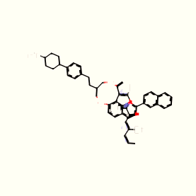 C=C(/C=C(/C=C\C)CC)/C(=C/C(CC)=C1/C(=C)OCC(CCc2ccc(C3CCC(CCC)CC3)cc2)COc2ccc3ccc(-c4ccc5ccccc5c4)cc3c21)CC